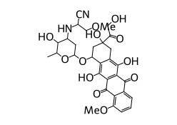 COCC(C#N)NC1CC(OC2CC(O)(C(=O)CO)Cc3c(O)c4c(c(O)c32)C(=O)c2c(OC)cccc2C4=O)OC(C)C1O